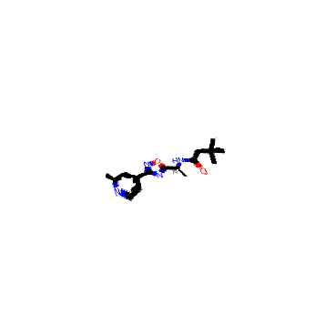 Cc1cc(-c2noc([C@H](C)NC(=O)CC(C)(C)C)n2)ccn1